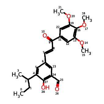 CCC(C)c1cc(C=CC(=O)c2cc(OC)c(OC)c(OC)c2)cc(C=O)c1O